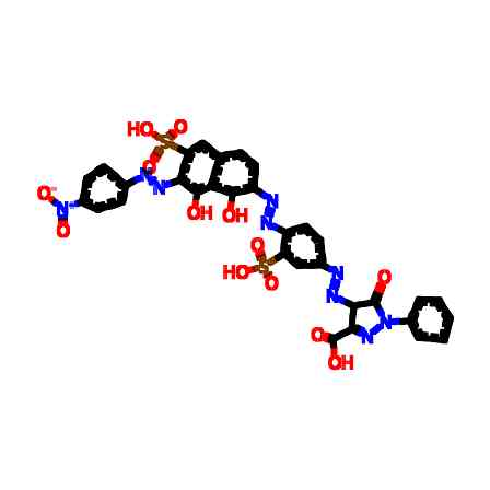 O=C(O)C1=NN(c2ccccc2)C(=O)C1N=Nc1ccc(N=Nc2ccc3cc(S(=O)(=O)O)c(N=Nc4ccc([N+](=O)[O-])cc4)c(O)c3c2O)c(S(=O)(=O)O)c1